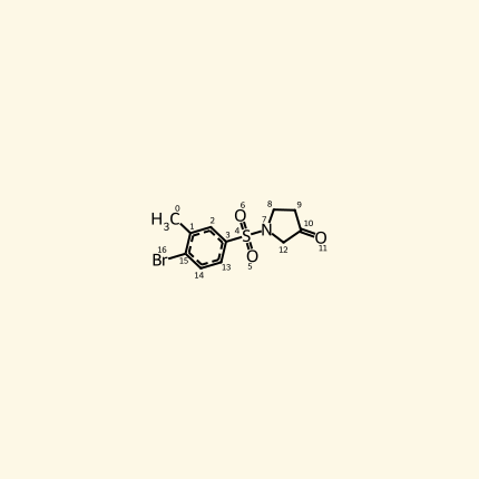 Cc1cc(S(=O)(=O)N2CCC(=O)C2)ccc1Br